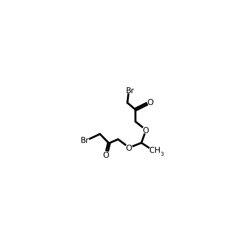 CC(OCC(=O)CBr)OCC(=O)CBr